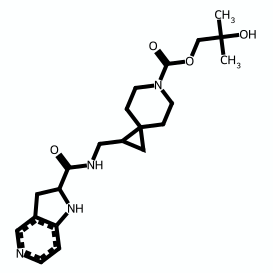 CC(C)(O)COC(=O)N1CCC2(CC1)CC2CNC(=O)C1Cc2cnccc2N1